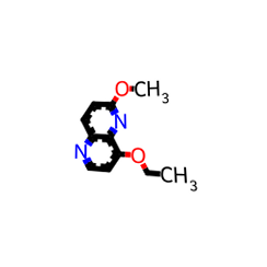 CCOc1ccnc2ccc(OC)nc12